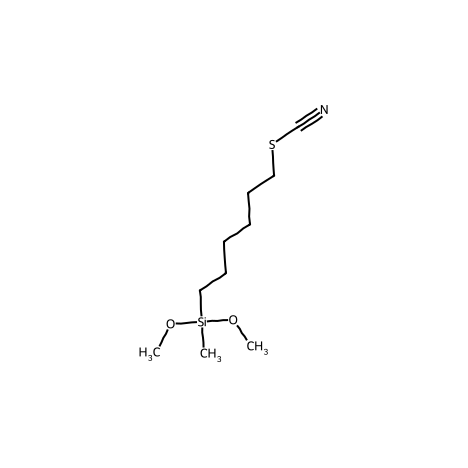 CO[Si](C)(CCCCCCSC#N)OC